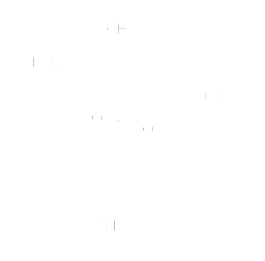 CCCO[Si](OCCC)(C1CCC(C)CC1)C1CCCC(C)(C)C1